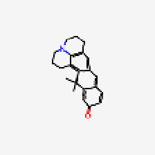 CC1(C)C2=CC(=O)C=CC2=Cc2cc3c4c(c21)CCCN4CCC3